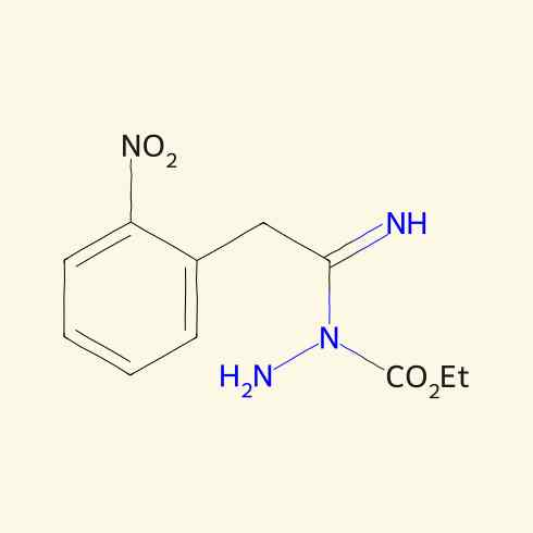 CCOC(=O)N(N)C(=N)Cc1ccccc1[N+](=O)[O-]